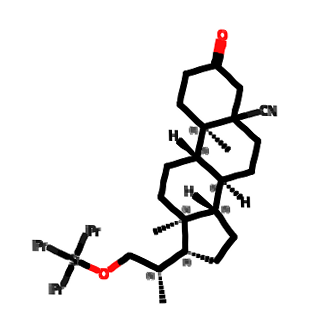 CC(C)[Si](OC[C@@H](C)[C@H]1CC[C@H]2[C@@H]3CCC4(C#N)CC(=O)CC[C@]4(C)[C@H]3CC[C@]12C)(C(C)C)C(C)C